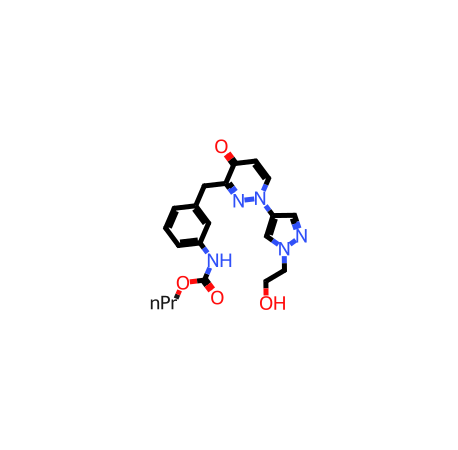 CCCOC(=O)Nc1cccc(Cc2nn(-c3cnn(CCO)c3)ccc2=O)c1